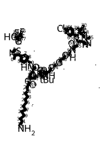 Cc1ncsc1-c1ccc(CNC(=O)[C@@H]2C[C@@H](OC(=O)CCCCCCCCCCCCCN)CN2C(=O)[C@@H](NC(=O)COCCOCCOCCNC(=O)C[C@@H]2N=C(c3ccc(Cl)cc3)c3c(sc(C)c3C)-n3c(C)nnc32)C(C)(C)C)cc1.O=C(O)C(F)(F)F